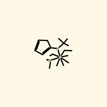 C[CH2][Ti]([CH3])([CH3])([CH3])([CH3])([CH2]C)([N](C1=CC=CC1)C(C)(C)C)[SiH](C)C